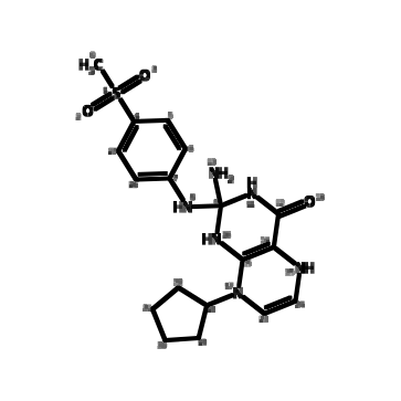 CS(=O)(=O)c1ccc(NC2(N)NC(=O)C3=C(N2)N(C2CCCC2)C=CN3)cc1